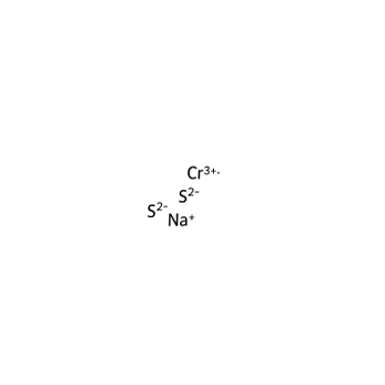 [Cr+3].[Na+].[S-2].[S-2]